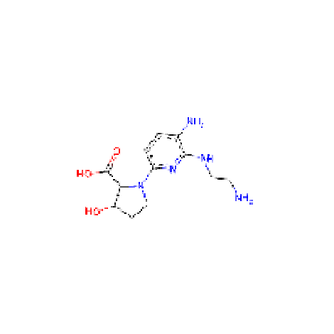 NCCNc1nc(N2CCC(O)C2C(=O)O)ccc1N